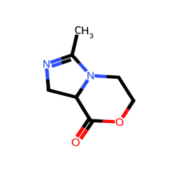 CC1=NCC2C(=O)OCCN12